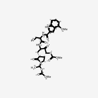 COC(=O)OCC(=O)C(C[C@@H]1CCN(C(C)OC(=O)OC)C1=O)NC(=O)C(CC(C)C)NC(=O)c1cc2c(OC)cccc2[nH]1